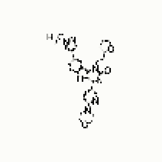 Cn1cc(-c2ccc3oc4c(-c5ccc(N6CCOCC6)nc5)nc(=O)n(CCC5CCCO5)c4c3c2)cn1